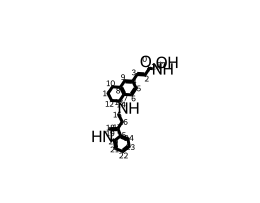 O=C(C=Cc1ccc2c(c1)CCCC2NCCc1c[nH]c2ccccc12)NO